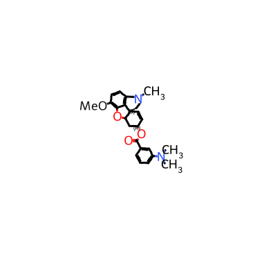 COc1ccc2c3c1OC1C[C@@H](OC(=O)c4cccc(N(C)C)c4)C=C[C@@]31CCN(C)C2